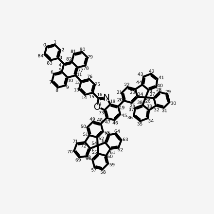 c1ccc(-c2c3ccccc3c(-c3ccc(-c4nc5c(-c6ccc7c(c6)C6(c8ccccc8-c8ccccc86)c6ccccc6-7)ccc(-c6ccc7c(c6)C6(c8ccccc8-c8ccccc86)c6ccccc6-7)c5o4)cc3)c3ccccc23)cc1